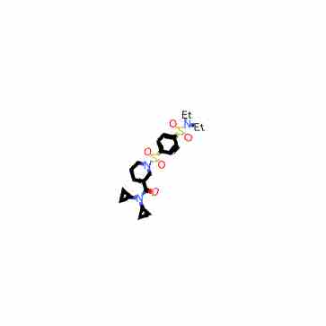 CCN(CC)S(=O)(=O)c1ccc(S(=O)(=O)N2CCCC(C(=O)N(C3CC3)C3CC3)C2)cc1